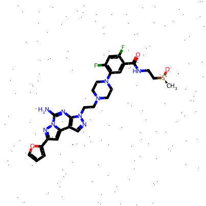 C[S@+]([O-])CCNC(=O)c1cc(N2CCN(CCn3ncc4c3nc(N)n3nc(-c5ccco5)cc43)CC2)c(F)cc1F